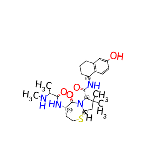 CNC(C)C(=O)N[C@H]1CCS[C@H]2CC(C)(C)[C@@H](C(=O)N[C@@H]3CCCc4cc(O)ccc43)N2C1=O